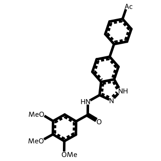 COc1cc(C(=O)Nc2n[nH]c3cc(-c4ccc(C(C)=O)cc4)ccc23)cc(OC)c1OC